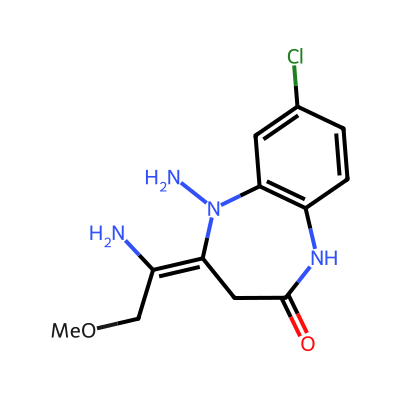 COC/C(N)=C1\CC(=O)Nc2ccc(Cl)cc2N1N